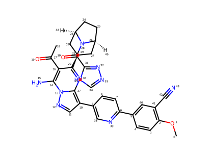 COc1ccc(-c2ccc(-c3cnn4c(N)c(C(C)=O)c([C@H]5C[C@H]6CC[C@@H](C5)N6C(=O)c5nnc[nH]5)nc34)cn2)cc1C#N